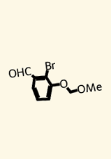 COCOc1cccc(C=O)c1Br